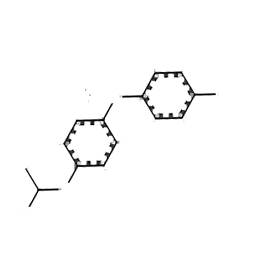 CC(Oc1ccc(Oc2ccc(C(F)(F)F)cc2)cc1)C(=O)O.N